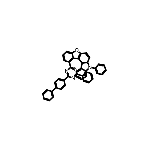 C1=CC2C(c3ccccc3N2c2ccccc2)c2c1oc1cccc(-c3nc(-c4ccccc4)nc(-c4ccc(-c5ccccc5)cc4)n3)c21